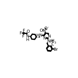 Cc1c(Br)cccc1CNc1ncc([N+](=O)[O-])c(NC[C@H]2CC[C@H](NC(=O)C(F)(F)F)CC2)n1